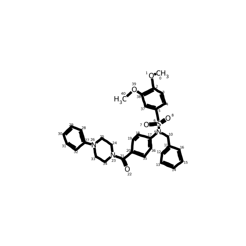 COc1ccc(S(=O)(=O)N(Cc2ccccc2)c2ccc(C(=O)N3CCN(c4ccccc4)CC3)cc2)cc1OC